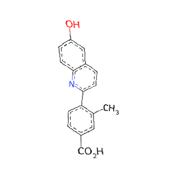 Cc1cc(C(=O)O)ccc1-c1ccc2cc(O)ccc2n1